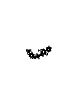 O=C(C(CO)c1ccccc1)N1CC(=C2CN(Sc3ccc(OC(F)F)cn3)C2)C1